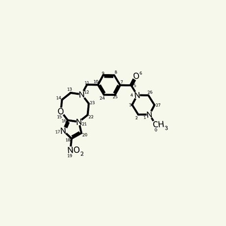 CN1CCN(C(=O)c2ccc(CN3CCOc4nc([N+](=O)[O-])cn4CC3)cc2)CC1